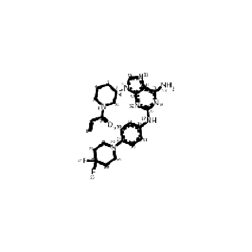 C=CC(=O)N1CCC[C@H](n2cnc3c(N)nc(Nc4ccc(N5CCC(F)(F)CC5)cc4)nc32)C1